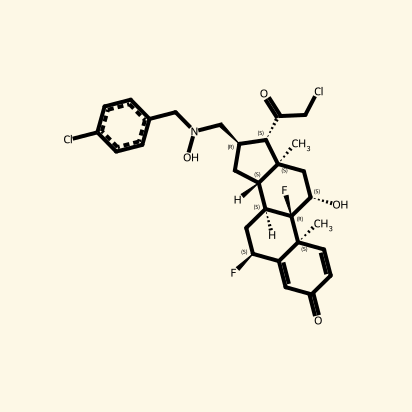 C[C@]12C[C@H](O)[C@@]3(F)[C@@H](C[C@H](F)C4=CC(=O)C=C[C@@]43C)[C@@H]1C[C@@H](CN(O)Cc1ccc(Cl)cc1)[C@@H]2C(=O)CCl